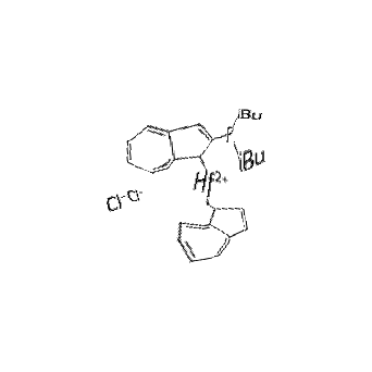 CCC(C)P(C1=Cc2ccccc2[CH]1[Hf+2][CH]1C=Cc2ccccc21)C(C)CC.[Cl-].[Cl-]